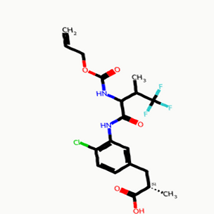 C=CCOC(=O)NC(C(=O)Nc1cc(C[C@H](C)C(=O)O)ccc1Cl)C(C)C(F)(F)F